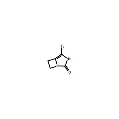 CCc1[nH]c(=O)n2c1CC2